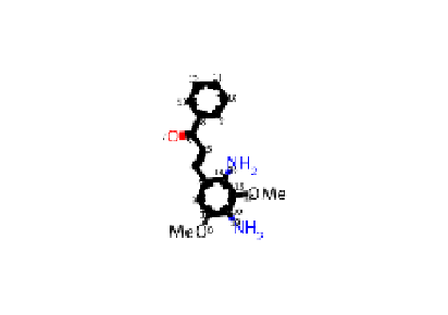 COc1cc(C=CC(=O)c2ccccc2)c(N)c(OC)c1N